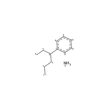 N.[CH2]CCC(CC)c1ccccc1